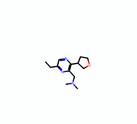 CCc1cnc(C2CCOC2)c(CN(C)C)n1